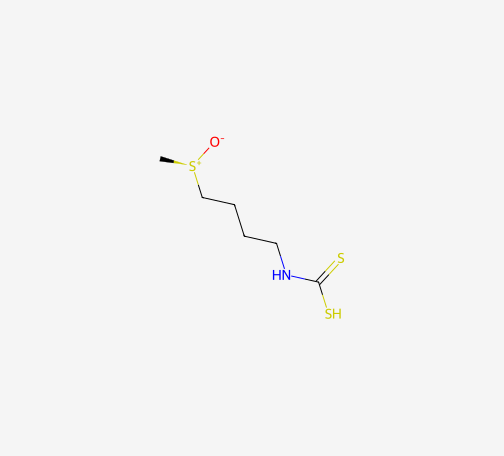 C[S@@+]([O-])CCCCNC(=S)S